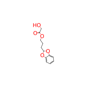 O=C(CO)OCCCC1Oc2ccccc2O1